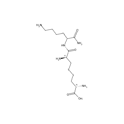 NCCCCC(NC(=O)[C@H](N)CSSC[C@H](N)C(=O)O)C(N)=O